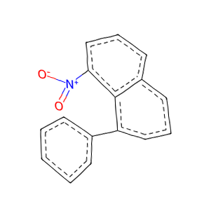 O=[N+]([O-])c1cccc2cccc(-c3ccccc3)c12